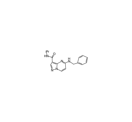 CC(C)NC(=O)c1cnn2ccc(NCc3ccccc3)nc12